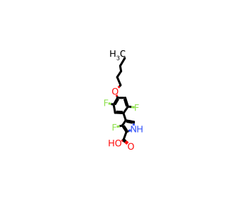 CCCCCCOc1cc(F)c(-c2c[nH]c(C(=O)O)c2F)cc1F